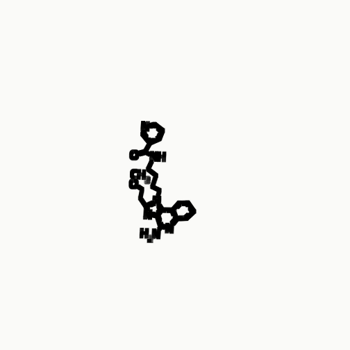 COCCc1nc2c(N)nc3ccccc3c2n1CCCCNC(=O)c1cccnc1